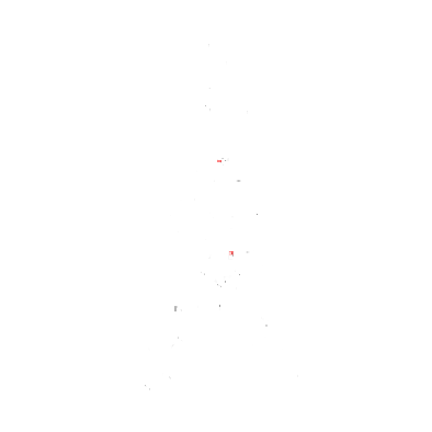 COc1ccc(CN(Cc2ccc(OC)cc2)S(=O)(=O)c2c(S(=O)(=O)N[C@@H]3CCN(C(=O)OC(C)(C)C)C3)ccc(-c3cccc(Nc4nc(C(N)=O)cs4)c3)c2-c2nnn(Cc3ccc(OC)cc3)n2)cc1